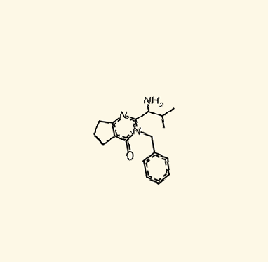 CC(C)C(N)c1nc2c(c(=O)n1Cc1ccccc1)CCC2